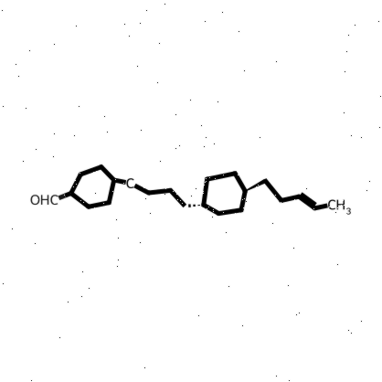 CC=CCC[C@H]1CC[C@H](CCCCC2CCC(C=O)CC2)CC1